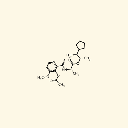 COc1ccnc(C(=S)N[C@@H](C)C(=O)O[C@@H](C)[C@@H](C)C2CCCC2)c1OC(C)=O